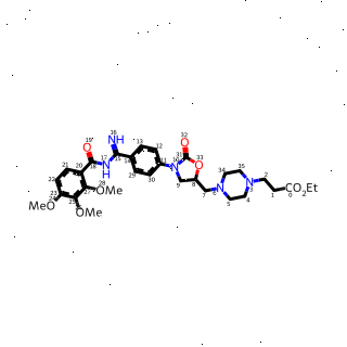 CCOC(=O)CCN1CCN(CC2CN(c3ccc(C(=N)NC(=O)c4ccc(OC)c(OC)c4OC)cc3)C(=O)O2)CC1